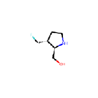 OC[C@@H]1NCC[C@H]1CF